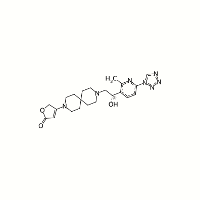 Cc1nc(-n2cnnn2)ccc1[C@H](O)CN1CCC2(CC1)CCN(C1=CC(=O)OC1)CC2